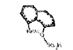 CC(=O)Nc1cccc2cccc(OS(=O)(=O)O)c12